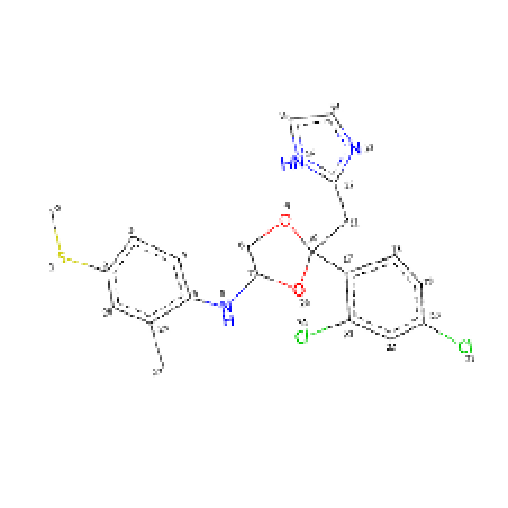 CSc1ccc(NC2COC(Cc3ncc[nH]3)(c3ccc(Cl)cc3Cl)O2)c(C)c1